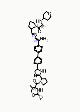 COC(=O)N[C@H](C(=O)N1CCCC1C1=NCC(c2ccc(-c3ccc(/C(N)=C/N=C/C4CCCN4C(=O)[C@@H](C)NC4CCOCC4)cc3)cc2)N1)C(C)C